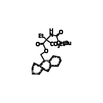 CCOC(=O)C(CC)(NC(=O)OC(C)(C)C)C(=O)OCc1c2ccccc2cc2ccccc12